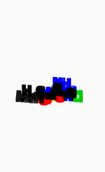 CNC(=O)[C@H](C)NC(=O)c1csc([C@H]2C[C@H](N)CN2C(=O)c2cn3cc(Cl)ccc3n2)n1